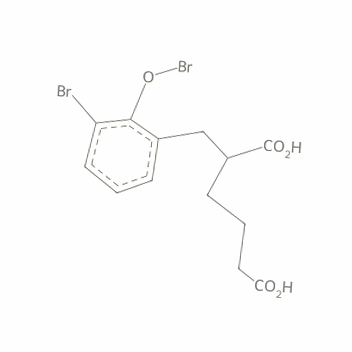 O=C(O)CCCC(Cc1cccc(Br)c1OBr)C(=O)O